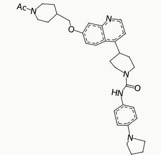 CC(=O)N1CCC(COc2ccc3c(C4CCN(C(=O)Nc5ccc(N6CCCC6)cc5)CC4)ccnc3c2)CC1